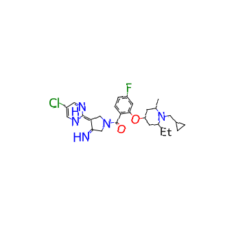 CCC1CC(Oc2cc(F)ccc2C(=O)N2CC(=N)/C(=C3/N=CC(Cl)=CN3)C2)CC(C)N1CC1CC1